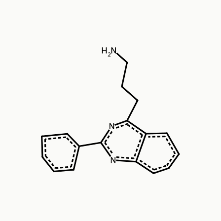 NCCCc1nc(-c2ccccc2)nc2ccccc12